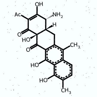 CC(=O)C1=C(O)[C@H](N)[C@@H]2Cc3c(c(O)c4c(O)c(C)ccc4c3C)C(=O)[C@]2(O)C1=O